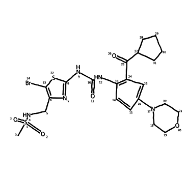 CS(=O)(=O)NCc1nc(NC(=O)Nc2ccc(N3CCOCC3)cc2C(=O)C2CCCC2)sc1Br